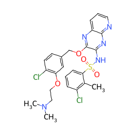 Cc1c(Cl)cccc1S(=O)(=O)Nc1nc2ncccc2nc1OCc1ccc(Cl)c(OCCN(C)C)c1